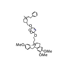 COc1ccc(CC2c3cc(OC)c(OC)cc3CC[N+]2(C)CCCOC(=O)/C=C\C(=O)OCC2CC[N+](C)(CCc3ccccc3)C2)cc1